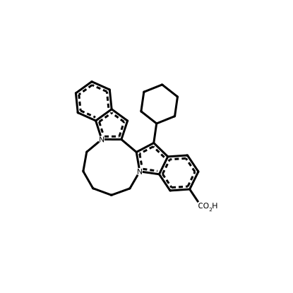 O=C(O)c1ccc2c(C3CCCCC3)c3n(c2c1)CCCCCn1c-3cc2ccccc21